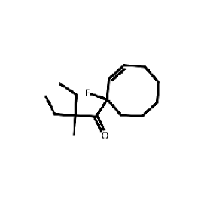 CCC(C)(CC)C(=O)C1(F)/C=C\CCCCC1